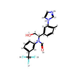 Cc1ccc([C@H](CO)N(C=O)c2cccc(C(F)(F)F)c2)cc1-n1ccnc1